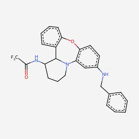 O=C(NC1CCCN2c3cc(NCc4ccccc4)ccc3Oc3ccccc3C12)C(F)(F)F